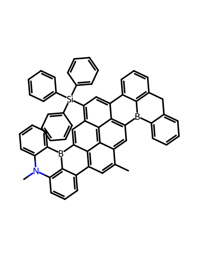 Cc1cc2c3c(cc4c([Si](c5ccccc5)(c5ccccc5)c5ccccc5)cc5c6c(cc1c3c46)B1c3ccccc3Cc3cccc-5c31)B1c3ccccc3N(C)c3cccc-2c31